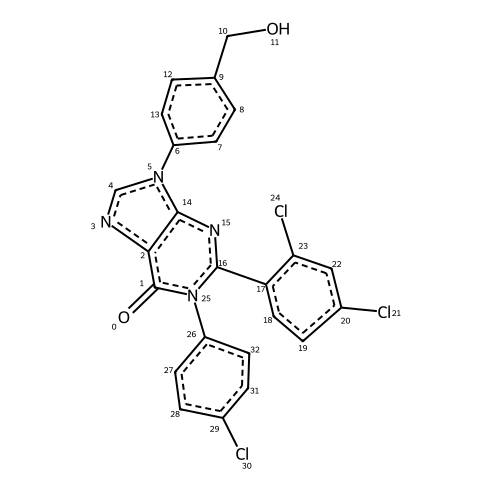 O=c1c2ncn(-c3ccc(CO)cc3)c2nc(-c2ccc(Cl)cc2Cl)n1-c1ccc(Cl)cc1